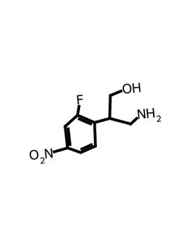 NCC(CO)c1ccc([N+](=O)[O-])cc1F